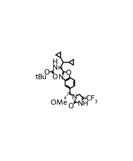 COC[C@H](c1ccc2oc([C@H](NC(=O)OC(C)(C)C)C(C3CC3)C3CC3)nc2c1)N1C[C@@H](C(F)(F)F)NC1=O